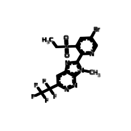 CCS(=O)(=O)c1cc(Br)cnc1-c1nc2cc(C(F)(F)C(F)(F)F)nnc2n1C